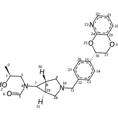 C[C@H](O)CN(C=O)C1[C@@H]2CN(Cc3ccc([C@H]4COc5cccnc5O4)cc3)C[C@@H]12